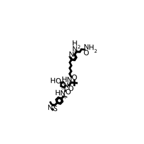 Cc1ncsc1-c1ccc([C@H](C)NC(=O)[C@@H]2C[C@@H](O)CN2C(=O)[C@@H](NC(=O)CCCCCc2ccc([C@@H](N)CCC(N)=O)nc2)C(C)(C)C)cc1